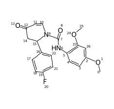 COc1ccc(NC(=O)N2C=CC(=O)CC2c2ccc(F)cc2)c(OC)c1